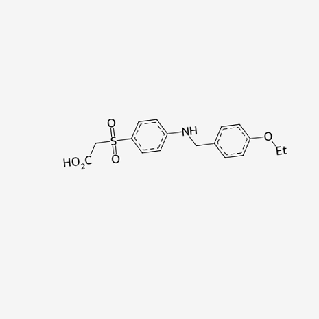 CCOc1ccc(CNc2ccc(S(=O)(=O)CC(=O)O)cc2)cc1